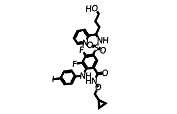 O=C(NOCC1CC1)c1cc(S(=O)(=O)NC(CCCO)c2ccccn2)c(F)c(F)c1Nc1ccc(I)cc1